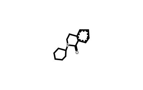 O=C1c2ccccc2CCN1C1CCCCC1